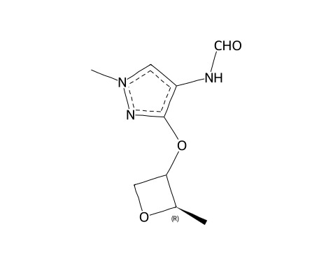 C[C@H]1OCC1Oc1nn(C)cc1NC=O